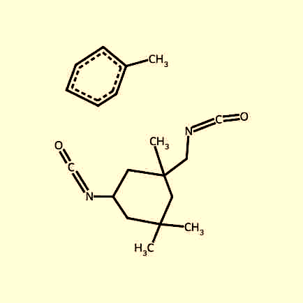 CC1(C)CC(N=C=O)CC(C)(CN=C=O)C1.Cc1ccccc1